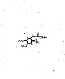 COC(=O)C1Cc2cc(OC(C)=O)c(OC(C)=O)cc2N1C(C)=O